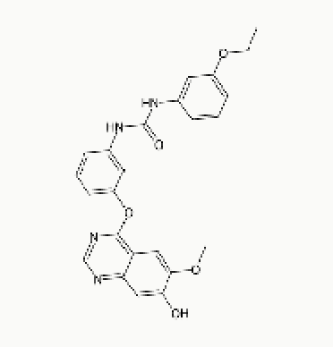 CCOc1cccc(NC(=O)Nc2cccc(Oc3ncnc4cc(O)c(OC)cc34)c2)c1